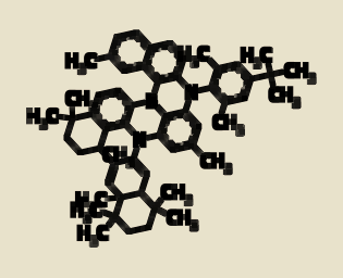 Cc1cc2c3c(c1)N(c1c(C)cc(C(C)(C)C)cc1C)c1ccc4ccc(C)cc4c1B3c1ccc3c4c1N2C1=CC2C(C)(C)CCC(C)(C)C2(C)C=C1C4(C)CCC3(C)C